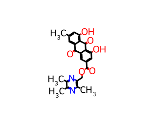 Cc1cc(O)c2c(c1)C(=O)c1cc(C(=O)OCc3nc(C)c(C)nc3C)cc(O)c1C2=O